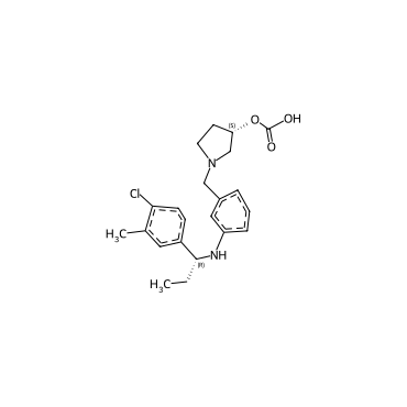 CC[C@@H](Nc1cccc(CN2CC[C@H](OC(=O)O)C2)c1)c1ccc(Cl)c(C)c1